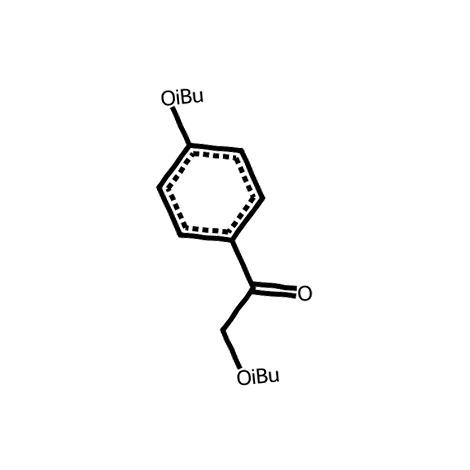 CC(C)COCC(=O)c1ccc(OCC(C)C)cc1